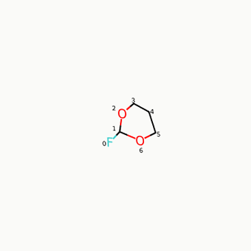 FC1OCCCO1